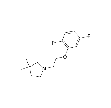 CC1(C)CCN(CCOc2cc(F)ccc2F)C1